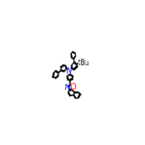 CC(C)(C)c1ccc(N(c2ccc(-c3nc4ccc5ccccc5c4o3)cc2)c2cccc(-c3ccccc3)c2)cc1-c1ccccc1